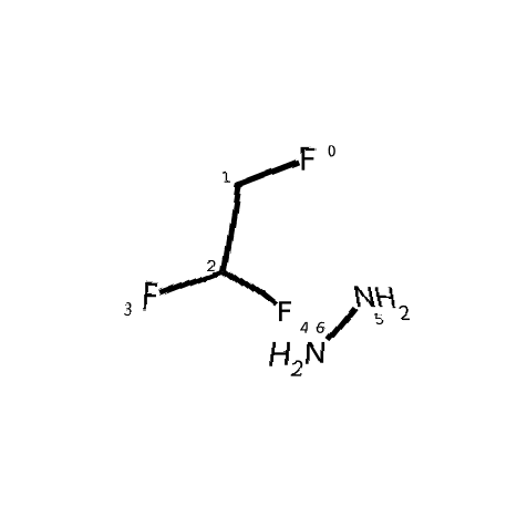 FCC(F)F.NN